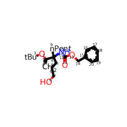 C=C(OC(C)(C)C)C(CCCO)(CCCCC)NC(=O)OCc1ccccc1